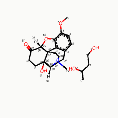 CC(O)CCO.COc1ccc2c3c1O[C@H]1C(=O)CC[C@@]4(O)[C@@H](C2)N(C)CC[C@]314